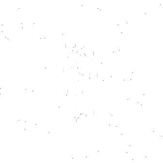 C=C(CCCC1CC[C@@]2(C)C3=C(CC[C@]12C)[C@@]1(C)CC[C@H](O)C(C)(C)C1CC3)C(C)C